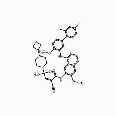 COc1cc2ncnc(Nc3cc(-c4ccc(F)cc4F)ccc3OC)c2cc1NC(=O)/C(C#N)=C\C(C)(C)N1CCN(C2COC2)CC1